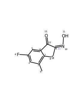 Cc1cc(F)cc2c1S/C(=N/O)C2=O